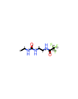 CCNC(=O)NCCNC(=O)C(F)(F)F